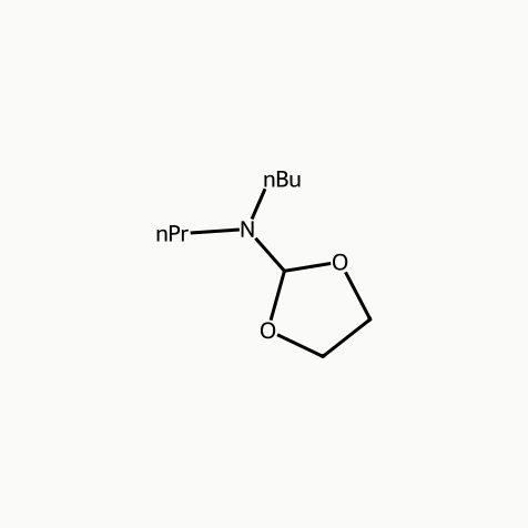 CCCCN(CCC)C1OCCO1